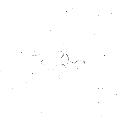 CCCN(c1cc(-c2ccc(O)cc2)cc(C(=O)OC)c1C)C1CCC(NC(=O)OC(C)(C)C)CC1